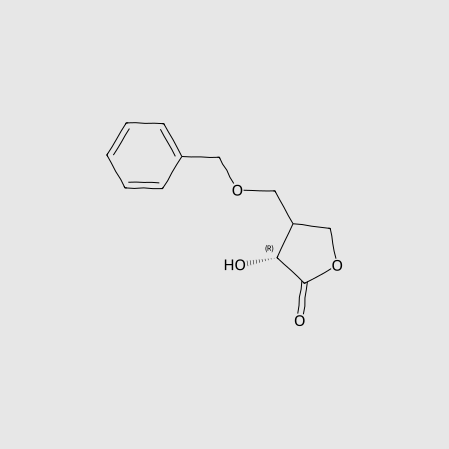 O=C1OCC(COCc2ccccc2)[C@H]1O